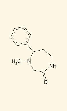 CN1CC(=O)NCCC1c1ccccc1